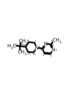 Cc1nccc(N2CCC(C(C)(C)C)CC2)n1